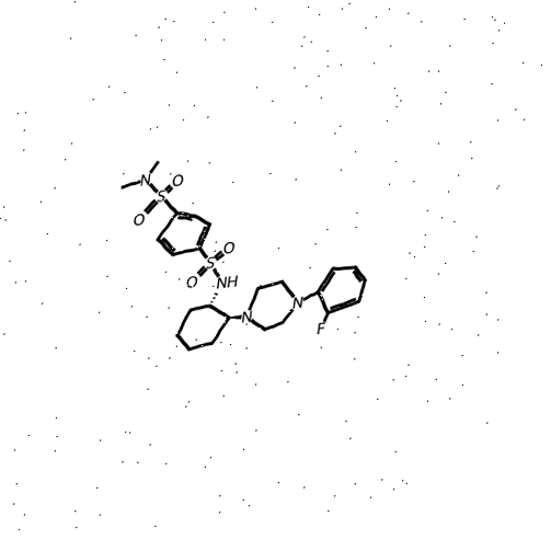 CN(C)S(=O)(=O)c1ccc(S(=O)(=O)N[C@H]2CCCC[C@@H]2N2CCN(c3ccccc3F)CC2)cc1